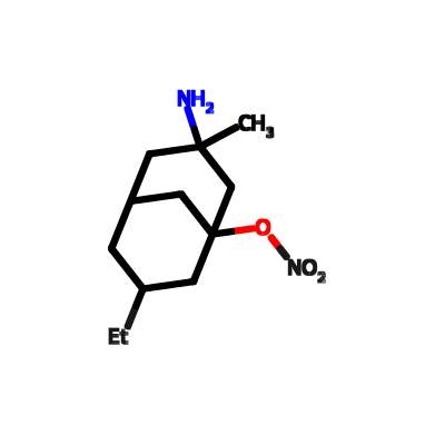 CCC1CC2CC(C)(N)CC(O[N+](=O)[O-])(C1)C2